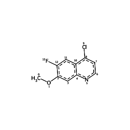 COc1cc2nccc(Cl)c2cc1F